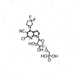 N#Cc1c(Cl)nc2c(ccn2[C@@H]2O[C@H](COCP(=O)(O)O)[C@@H](O)[C@H]2O)c1N1CCC(F)(F)C1